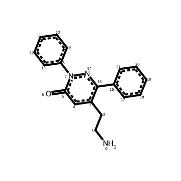 NCCc1cc(=O)n(-c2ccccc2)nc1-c1ccccc1